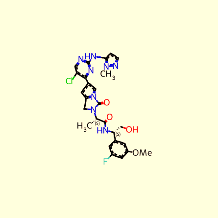 COc1cc(F)cc([C@@H](CO)NC(=O)[C@H](C)N2Cc3cc(-c4nc(Nc5ccnn5C)ncc4Cl)cn3C2=O)c1